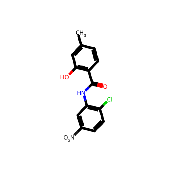 Cc1ccc(C(=O)Nc2cc([N+](=O)[O-])ccc2Cl)c(O)c1